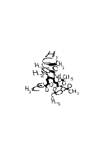 COC(=O)C1=C[C@H](N)[C@@H](NC(=O)OC(C)(C)C)[C@H]([C@H](OC(C)=O)[C@@H](COC(C)=O)OC(C)=O)O1